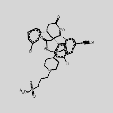 C#Cc1ccc(OC2CCN(CCCS(C)(=O)=O)CC2)c([C@H]2NC(=O)C[C@@H](c3cccc(Cl)c3)[C@]23C(=O)Nc2cc(Cl)ccc23)c1